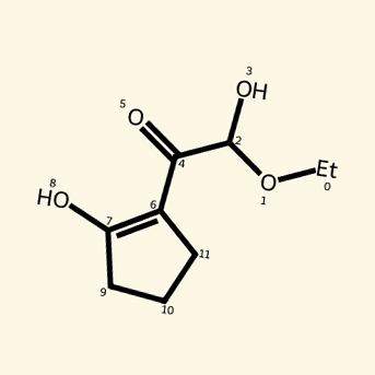 CCOC(O)C(=O)C1=C(O)CCC1